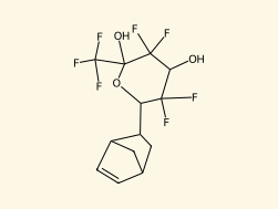 OC1C(F)(F)C(C2CC3C=CC2C3)OC(O)(C(F)(F)F)C1(F)F